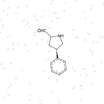 O=CC1C[C@H](c2ccccc2)CN1